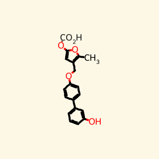 Cc1oc(OC(=O)O)cc1COc1ccc(-c2cccc(O)c2)cc1